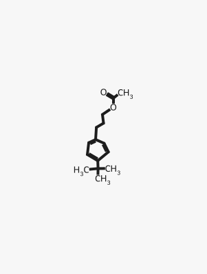 CC(=O)OCCCc1ccc(C(C)(C)C)cc1